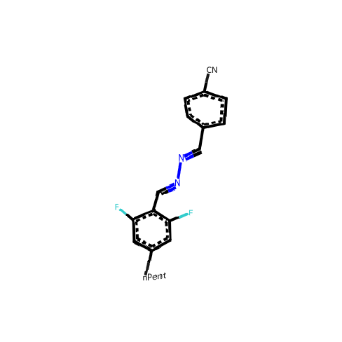 CCCCCc1cc(F)c(C=NN=Cc2ccc(C#N)cc2)c(F)c1